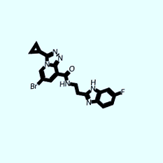 O=C(NCCc1nc2ccc(F)cc2[nH]1)c1cc(Br)cn2c(C3CC3)nnc12